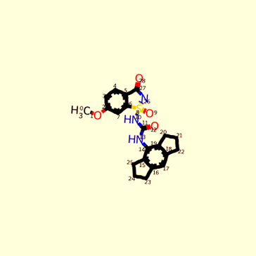 COc1ccc2c(c1)S(=O)(NC(=O)Nc1c3c(cc4c1CCC4)CCC3)=NC2=O